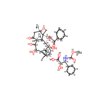 CC(=O)O[C@@]12CO[C@@H]1CC(=O)[C@@]1(C)C(=O)[C@H](O)C3=C(C)[C@@H](OC(=O)[C@H](O)[C@@H](NC(=O)OC(C)(C)C)c4ccccc4)C[C@](O)([C@@H]3C)[C@@H](OC(=O)c3ccccc3)[C@@H]12